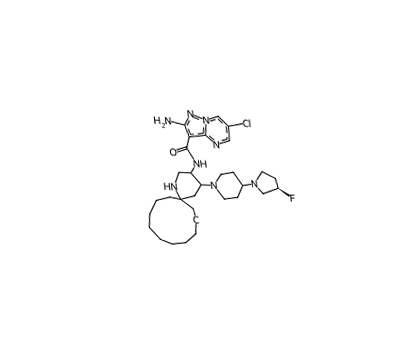 Nc1nn2cc(Cl)cnc2c1C(=O)NC1CNC2(CCCCCCCCCC2)CC1N1CCC(N2CC[C@@H](F)C2)CC1